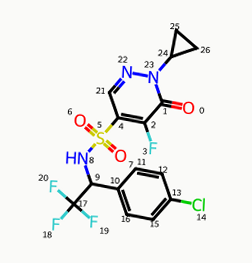 O=c1c(F)c(S(=O)(=O)NC(c2ccc(Cl)cc2)C(F)(F)F)cnn1C1CC1